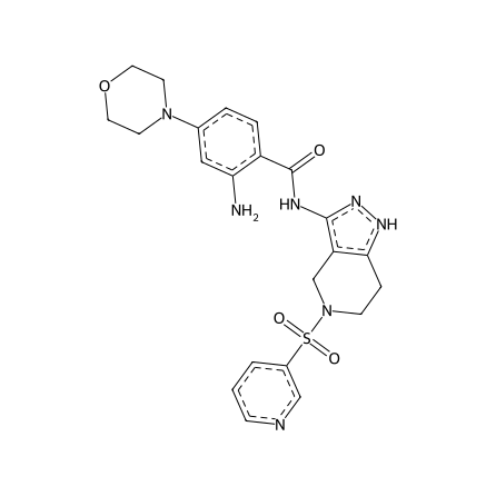 Nc1cc(N2CCOCC2)ccc1C(=O)Nc1n[nH]c2c1CN(S(=O)(=O)c1cccnc1)CC2